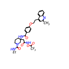 CCNC(=O)N1CCCC(CC(=O)NOC(=O)C(F)(F)F)(NC(=O)c2ccc(OCCc3cc(C)nc4ccccc34)cc2)C1